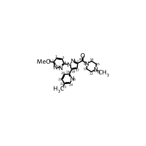 COc1ccc(-n2nc(C(=O)N3CCN(C)CC3)cc2-c2ccc(C)cn2)nn1